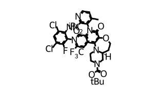 Cc1ccnc(C(C)C)c1-n1c(=O)c2c(c3cc(C(F)(F)F)n(-c4c(N)c(Cl)cc(Cl)c4F)c(=O)c31)N1CCN(C(=O)OC(C)(C)C)C[C@@H]1CCO2